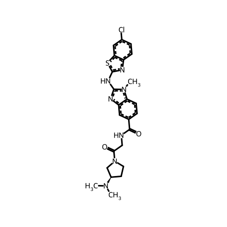 CN(C)[C@@H]1CCN(C(=O)CNC(=O)c2ccc3c(c2)nc(Nc2nc4ccc(Cl)cc4s2)n3C)C1